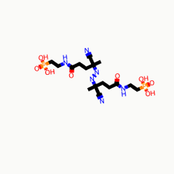 CC(C#N)(CCC(=O)NCCP(=O)(O)O)/N=N/C(C)(C#N)CCC(=O)NCCP(=O)(O)O